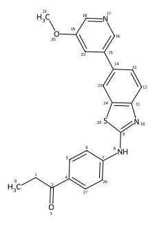 CCC(=O)c1ccc(Nc2nc3ccc(-c4cncc(OC)c4)cc3s2)cc1